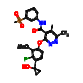 COc1c(Oc2nnc(C(F)(F)F)c(C)c2C(=O)Nc2cccc(S(C)(=O)=O)c2)ccc(C2(O)CC2)c1F